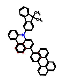 CC1(C)c2ccccc2-c2cc(N(c3ccccc3-c3ccccc3)c3ccc(-c4ccc(-c5cccc6cccc(-c7ccccc7)c56)cc4)c4ccccc34)ccc21